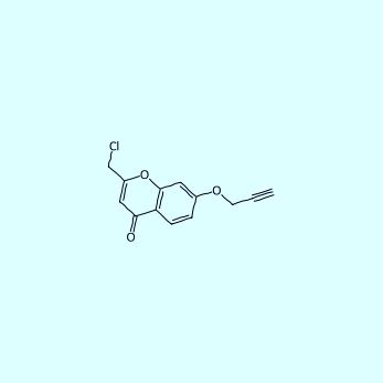 C#CCOc1ccc2c(=O)cc(CCl)oc2c1